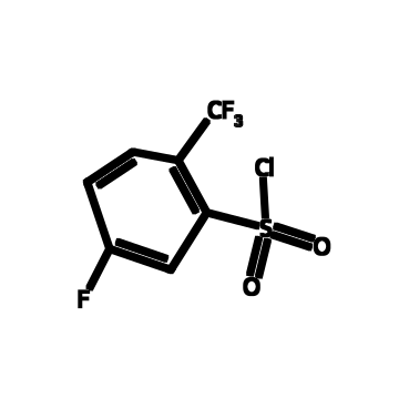 O=S(=O)(Cl)c1cc(F)ccc1C(F)(F)F